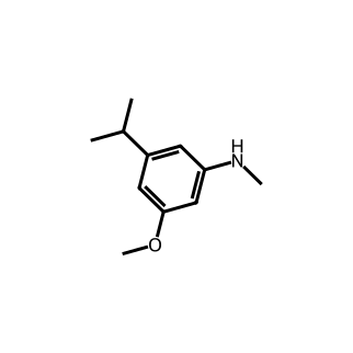 CNc1cc(OC)cc(C(C)C)c1